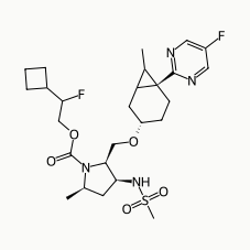 CC1C2C[C@@H](OC[C@H]3[C@@H](NS(C)(=O)=O)C[C@@H](C)N3C(=O)OCC(F)C3CCC3)CC[C@@]12c1ncc(F)cn1